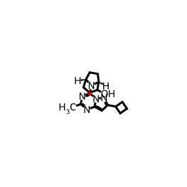 Cc1nc(N2[C@@H]3CCC(O)[C@H]2CC3)n2nc(C3CCC3)cc2n1